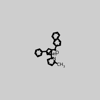 Cc1cccc([C@@H]2CC3(c4ccccc4)CC2(C(=O)c2ccc4ccccc4c2)C3)n1